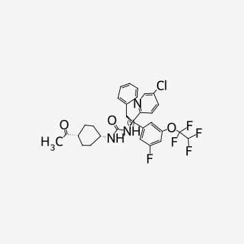 CC(=O)[C@H]1CC[C@@H](NC(=O)N[C@@](Cc2ccccc2)(c2cc(F)cc(OC(F)(F)C(F)F)c2)c2ccc(Cl)cn2)CC1